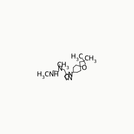 CNCCN(C)Cc1ccnn1C1CCC2(CC1)CC(C)(C)CO2